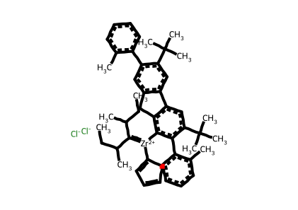 CCC(C)[C](C(C)CC)=[Zr+2]([C]1=CC=CC1)[c]1c2c(cc(C(C)(C)C)c1-c1ccccc1C)-c1cc(C(C)(C)C)c(-c3ccccc3C)cc1C2.[Cl-].[Cl-]